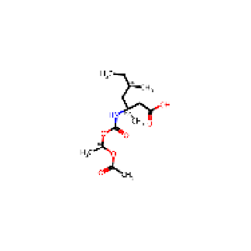 CC[C@@H](C)C[C@@](C)(CC(=O)O)NC(=O)O[C@H](C)OC(C)=O